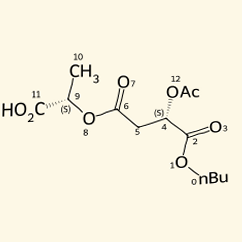 CCCCOC(=O)[C@H](CC(=O)O[C@@H](C)C(=O)O)OC(C)=O